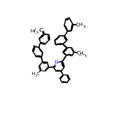 Cc1cccc(-c2cccc(-c3cc(C)cc(-c4cc(-c5ccccc5)cc(-c5cc(C)cc(-c6cccc(-c7cccc(C)c7)c6)c5)n4)c3)c2)c1